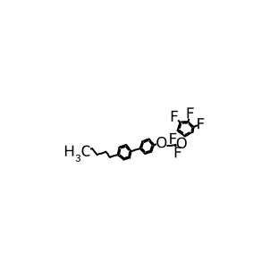 CCCCCc1ccc(-c2ccc(OCC(F)(F)Oc3cc(F)c(F)c(F)c3)cc2)cc1